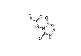 C=CC(=O)Nn1c(=O)cc[nH]c1=O